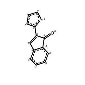 O=C1C(c2cccs2)=Cc2ccccc21